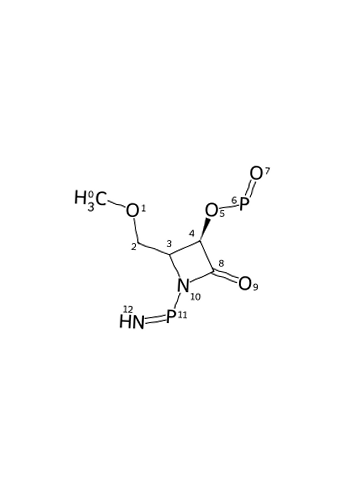 COCC1[C@@H](OP=O)C(=O)N1P=N